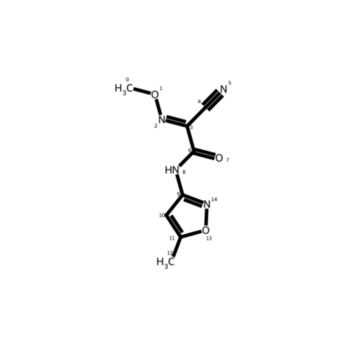 CON=C(C#N)C(=O)Nc1cc(C)on1